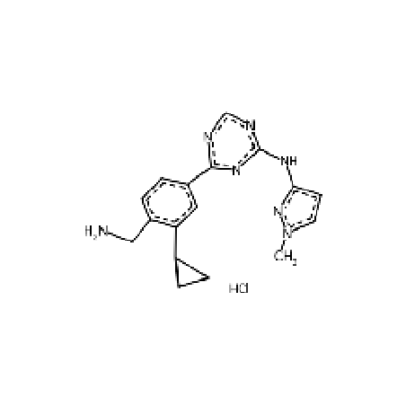 Cl.Cn1ccc(Nc2ncnc(-c3ccc(CN)c(C4CC4)c3)n2)n1